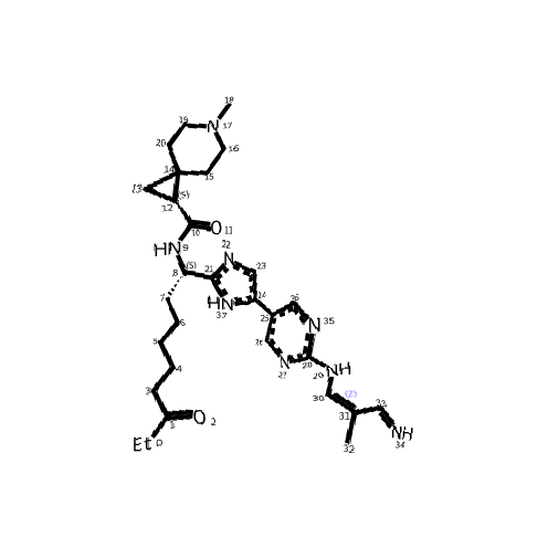 CCC(=O)CCCCC[C@H](NC(=O)[C@H]1CC12CCN(C)CC2)c1ncc(-c2cnc(N/C=C(/C)C=N)nc2)[nH]1